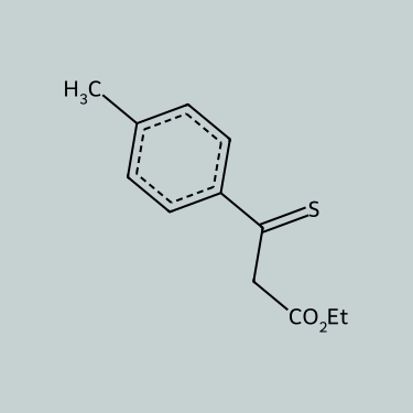 CCOC(=O)CC(=S)c1ccc(C)cc1